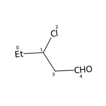 CCC(Cl)CC=O